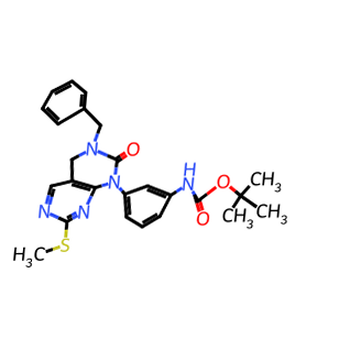 CSc1ncc2c(n1)N(c1cccc(NC(=O)OC(C)(C)C)c1)C(=O)N(Cc1ccccc1)C2